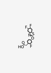 O=C(O)Cc1ccc(Oc2nc3cc(F)c(F)cc3s2)cc1F